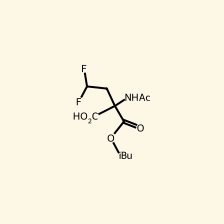 CCC(C)OC(=O)C(CC(F)F)(NC(C)=O)C(=O)O